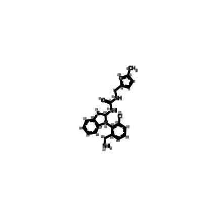 Cc1ccc(CNC(=O)NC2Sc3ccccc3N2c2c(Cl)cccc2CN)o1